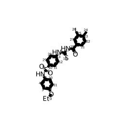 CCOc1ccc(NS(=O)(=O)c2ccc(NC(=S)NC(=O)c3ccc(C)c(I)c3)cc2)cc1